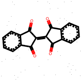 O=C1C(=C2C(=O)c3ccccc3C2=O)C(=O)c2ccccc21